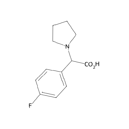 O=C(O)C(c1ccc(F)cc1)N1CCCC1